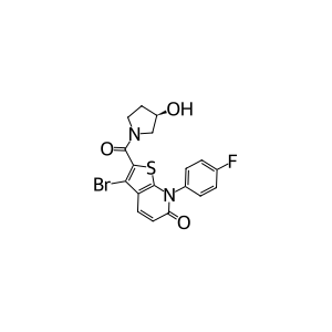 O=C(c1sc2c(ccc(=O)n2-c2ccc(F)cc2)c1Br)N1CC[C@@H](O)C1